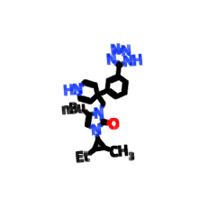 CCCCc1cn(C2C(C)C2CC)c(=O)n1CC1(c2cccc(-c3nnn[nH]3)c2)C=CNC=C1